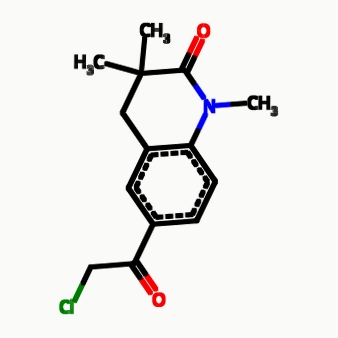 CN1C(=O)C(C)(C)Cc2cc(C(=O)CCl)ccc21